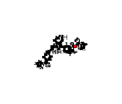 O=C(CSc1cc(-c2nn(CC(O)CN3CCC(C(=O)N4CCCC4)CC3)c3c2CNCC3)ccc1C(F)(F)F)N1CCCC1